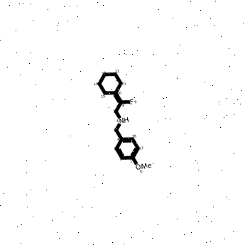 COc1ccc(CNCC(F)=C2CCCCC2)cc1